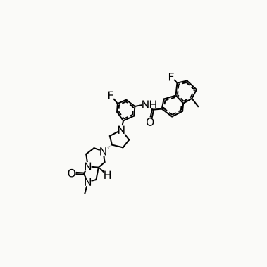 Cc1ccc(F)c2cc(C(=O)Nc3cc(F)cc(N4CC[C@H](N5CCN6C(=O)N(C)C[C@H]6C5)C4)c3)ccc12